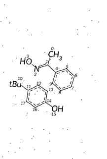 CC(=NO)c1ccccc1.CC(C)(C)c1ccc(O)cc1